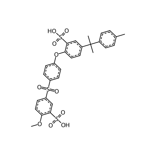 COc1ccc(S(=O)(=O)c2ccc(Oc3ccc(C(C)(C)c4ccc(C)cc4)cc3S(=O)(=O)O)cc2)cc1S(=O)(=O)O